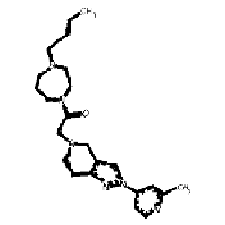 CCCCN1CCCN(C(=O)CN2CCc3nn(-c4ccnc(C)c4)cc3C2)CC1